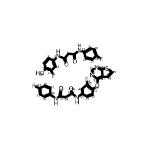 O=C(CC(=O)Nc1ccc(O)c(F)c1)Nc1ccc(F)cc1.O=C(CC(=O)Nc1ccc(Oc2ncnc3sccc23)c(F)c1)Nc1ccc(F)cc1